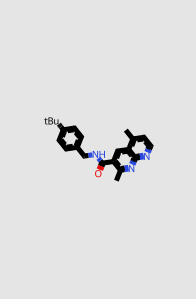 Cc1nc2nccc(C)c2cc1C(=O)NCc1ccc(C(C)(C)C)cc1